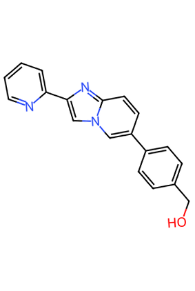 OCc1ccc(-c2ccc3nc(-c4ccccn4)cn3c2)cc1